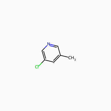 Cc1[c]c(Cl)cnc1